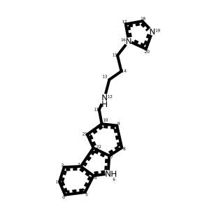 c1ccc2c(c1)[nH]c1ccc(CNCCCn3ccnc3)cc12